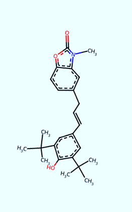 Cn1c(=O)oc2ccc(CC=Cc3cc(C(C)(C)C)c(O)c(C(C)(C)C)c3)cc21